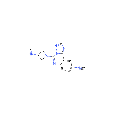 [C-]#[N+]c1ccc2nc(N3CC(NC)C3)n3ncnc3c2c1